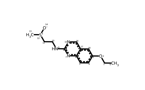 CCOc1ccc2nc(NCC[S+](C)[O-])ncc2c1